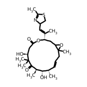 CC1=NC(/C=C(\C)[C@@H]2CC3OC3(C)C/C=C/[C@H](C)[C@H](O)[C@@H](C)C(=O)C(C)(C)[C@@H](O)CC(=O)O2)CS1